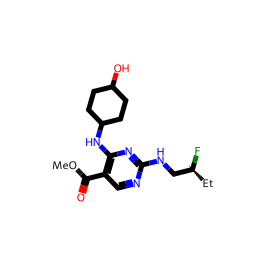 CC[C@H](F)CNc1ncc(C(=O)OC)c(NC2CCC(O)CC2)n1